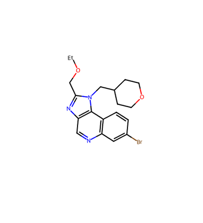 CCOCc1nc2cnc3cc(Br)ccc3c2n1CC1CCOCC1